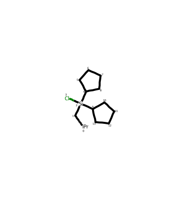 CC(C)C[Si](Cl)(C1CCCC1)C1CCCC1